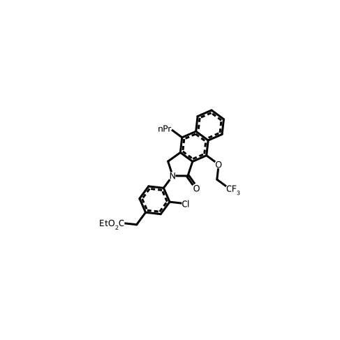 CCCc1c2c(c(OCC(F)(F)F)c3ccccc13)C(=O)N(c1ccc(CC(=O)OCC)cc1Cl)C2